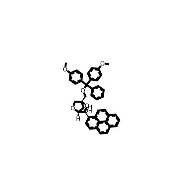 COc1ccc(C(OC[C@@]23CO[C@@H]([C@H](c4ccc5ccc6cccc7ccc4c5c67)O2)[C@@H]3O)(c2ccccc2)c2ccc(OC)cc2)cc1